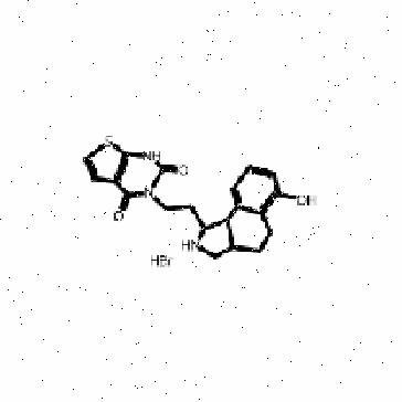 Br.O=c1[nH]c2sccc2c(=O)n1CCC1NCC2CCc3c(O)cccc3C21